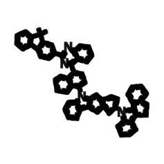 CC1(C)c2ccccc2-c2ccc(-c3nc(-c4ccc(-n5c6ccccc6c6cc7cc(-n8c9ccccc9c9ccc%10ccccc%10c98)ccc7cc65)c5ccccc45)c4ccccc4n3)cc21